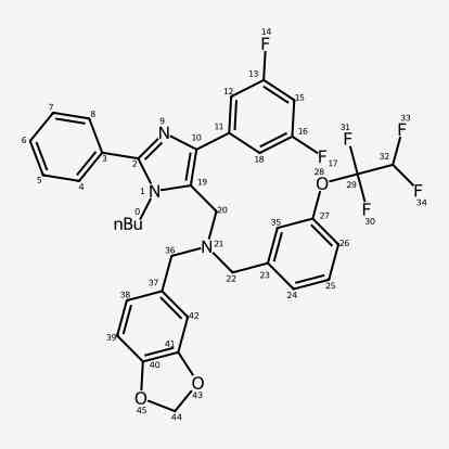 CCCCn1c(-c2ccccc2)nc(-c2cc(F)cc(F)c2)c1CN(Cc1cccc(OC(F)(F)C(F)F)c1)Cc1ccc2c(c1)OCO2